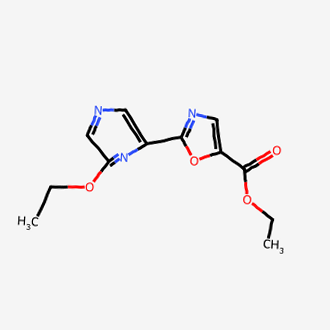 CCOC(=O)c1cnc(-c2cncc(OCC)n2)o1